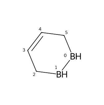 B1BCC=CC1